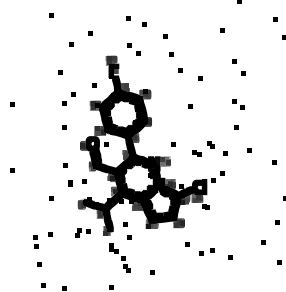 CC(C)c1c(C=O)c(-c2ccc(F)cc2)nn2c(Cl)ccc12